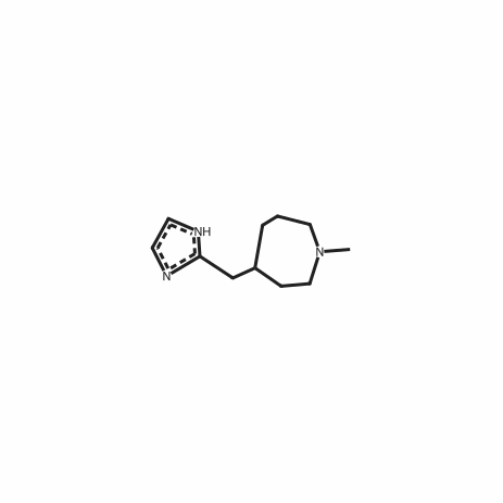 CN1CCCC(Cc2ncc[nH]2)CC1